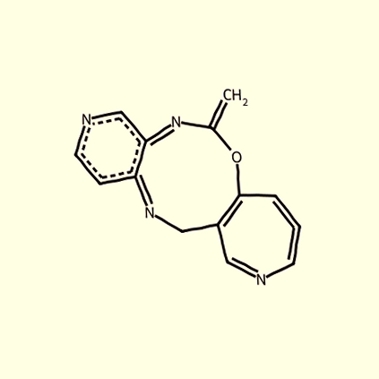 C=C1/N=c2/cncc/c2=N/CC2=C(C=C=CN=C2)O1